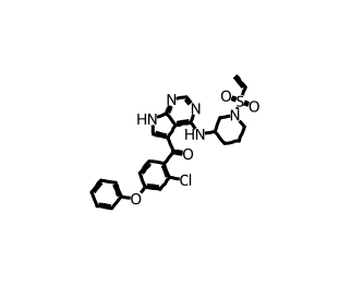 C=CS(=O)(=O)N1CCCC(Nc2ncnc3[nH]cc(C(=O)c4ccc(Oc5ccccc5)cc4Cl)c23)C1